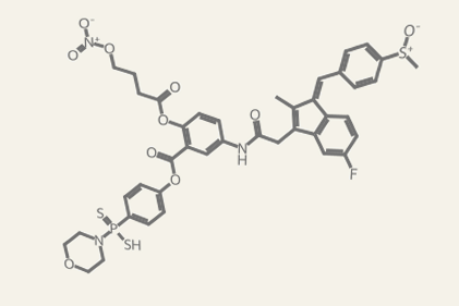 CC1=C(CC(=O)Nc2ccc(OC(=O)CCCO[N+](=O)[O-])c(C(=O)Oc3ccc(P(=S)(S)N4CCOCC4)cc3)c2)c2cc(F)ccc2/C1=C\c1ccc([S+](C)[O-])cc1